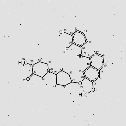 COc1cc2ncnc(Nc3cccc(Cl)c3F)c2cc1OC1CCC(N2CCN(C)C(=O)C2)CC1